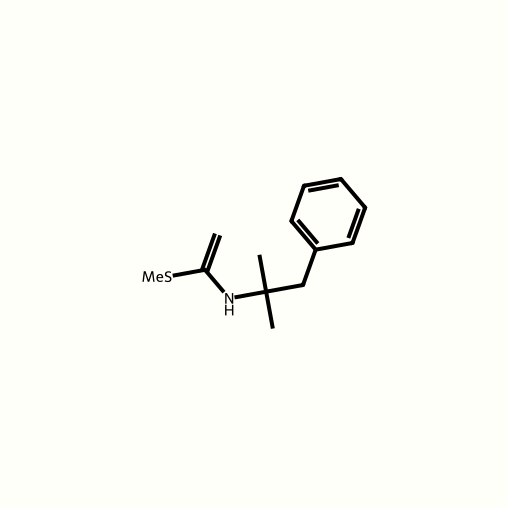 C=C(NC(C)(C)Cc1ccccc1)SC